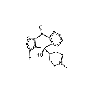 CN1CCC(C2(O)c3ccccc3C(=O)c3scc(F)c32)CC1